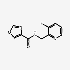 O=C(NCc1ncccc1F)c1cocn1